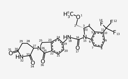 COC[C@@H]1Cc2c(cccc2C(F)(F)F)N1C(=O)Nc1ccc2c(c1)CN(C1CCC(=O)NC1=O)C2=O